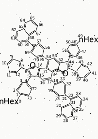 CCCCCCc1ccc(-c2c(-c3ccccc3)oc3c2cc(-c2ccc(-c4cccc5ccccc45)cc2)c2c4oc(-c5ccccc5)c(-c5ccc(CCCCCC)cc5)c4cc(-c4ccc(-c5cccc6ccccc56)cc4)c32)cc1